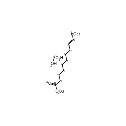 CCCCCCCCC=CCCCCCCCC(=O)OCC(C)C.O=S(=O)(O)O